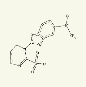 CCS(=O)(=O)C1=NC=CCN1c1nc2cc([S+]([O-])C(F)(F)F)ccc2o1